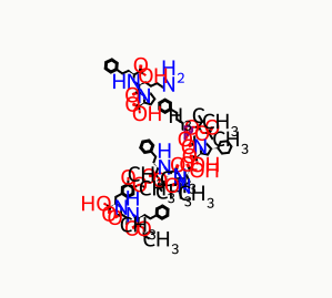 CCC(=O)OC(O[P@](=O)(CCCCc1ccccc1)CC(=O)N1C[C@H](C2CCCCC2)C[C@H]1C(=O)O)C(C)C.CCOC(=O)[C@H](CCc1ccccc1)N[C@@H](C)C(=O)N1C(=O)N(C)C[C@H]1C(=O)O.CCOC(=O)[C@H](CCc1ccccc1)N[C@@H](C)C(=O)N1Cc2cc(OC)c(OC)cc2C[C@H]1C(=O)O.NCCCC[C@H](N[C@@H](CCc1ccccc1)C(=O)O)C(=O)N1CCC[C@H]1C(=O)O